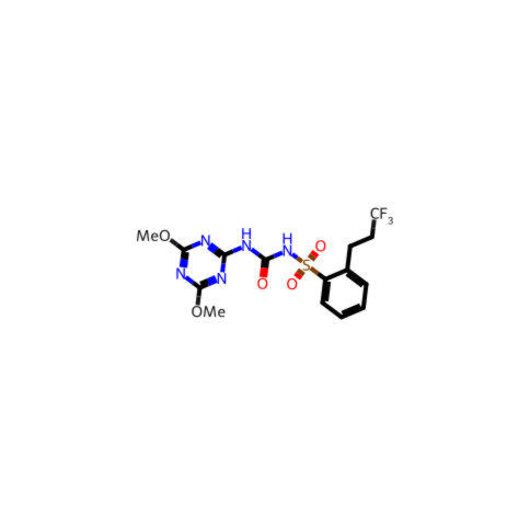 COc1nc(NC(=O)NS(=O)(=O)c2ccccc2CCC(F)(F)F)nc(OC)n1